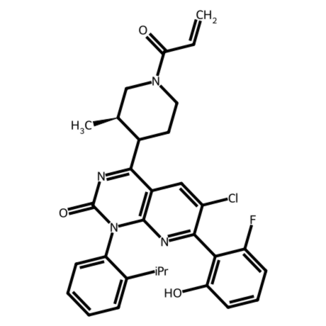 C=CC(=O)N1CCC(c2nc(=O)n(-c3ccccc3C(C)C)c3nc(-c4c(O)cccc4F)c(Cl)cc23)[C@@H](C)C1